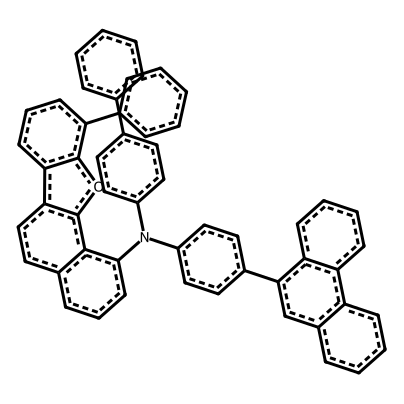 c1ccc(-c2ccc(N(c3ccc(-c4cc5ccccc5c5ccccc45)cc3)c3cccc4ccc5c6cccc(-c7ccccc7)c6oc5c34)cc2)cc1